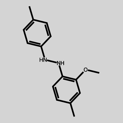 COc1cc(C)ccc1NNc1ccc(C)cc1